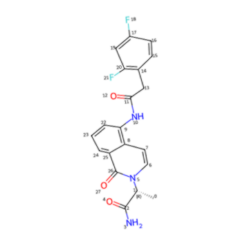 C[C@H](C(N)=O)n1ccc2c(NC(=O)Cc3ccc(F)cc3F)cccc2c1=O